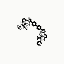 CO[C@H](C)[C@H](NC1OCO1)C(=O)N1CCC[C@H]1c1ncc(-c2ccc(-c3ccc(-c4cnc([C@@H]5CCCN5C(=O)[C@@H](NC5C=CC=NC5)C(C)C)[nH]4)cc3)cc2)[nH]1